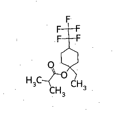 CCC1(OC(=O)C(C)C)CCC(C(F)(F)C(F)(F)F)CC1